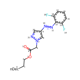 CCCCCCCCCCCCOC(=O)Cn1cc(/N=N/c2c(F)cccc2F)cn1